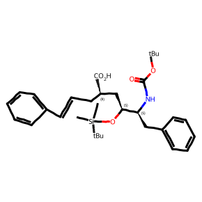 CC(C)(C)OC(=O)N[C@@H](Cc1ccccc1)[C@H](C[C@@H](CC=Cc1ccccc1)C(=O)O)O[Si](C)(C)C(C)(C)C